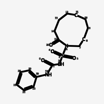 O=C(BS(=O)(=O)N1CCCCCCCCC1=O)Nc1ccccc1